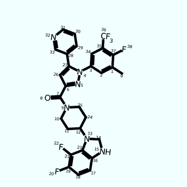 Cc1cc(-n2nc(C(=O)N3CCC(N4CNc5ccc(F)c(F)c54)CC3)cc2-c2cccnc2)cc(C(F)(F)F)c1F